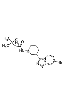 CC(C)(C)OC(=O)N[C@@H]1CCCC(c2nnc3cc(Br)ccn23)C1